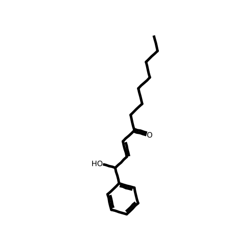 CCCCCCCC(=O)C=CC(O)c1ccccc1